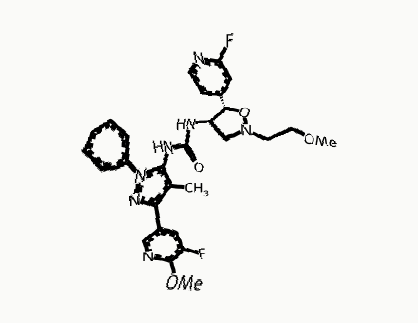 COCCN1C[C@@H](NC(=O)Nc2c(C)c(-c3cnc(OC)c(F)c3)nn2-c2ccccc2)[C@H](c2ccnc(F)c2)O1